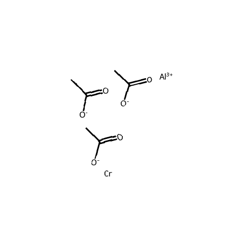 CC(=O)[O-].CC(=O)[O-].CC(=O)[O-].[Al+3].[Cr]